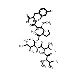 CCC(C)C([C@@H](CC(=O)N1CCC[C@H]1[C@H](OC)[C@@H](C)C(=O)NC(Cc1ccc(Cl)cc1Cl)C(=O)O)OC)N(C)C(=O)[C@@H](NC(=O)[C@@H](NC)C(C)C)C(C)C